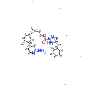 Cc1ccc(C2CC2CCOC(=O)c2nnc(Cc3ccccc3)[nH]2)cc1-c1ccnc(N)c1